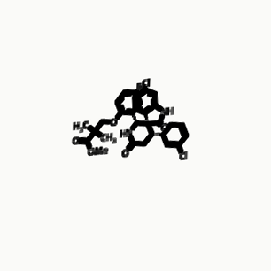 COC(=O)C(C)(C)COc1ccc(Br)cc1[C@H]1NC(=O)C[C@@H](C2C=C(Cl)C=CC2)[C@]12C(=O)Nc1cc(Cl)ccc12